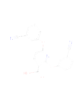 N#Cc1cccc(Oc2ccc(C(=O)O)c(Oc3cccc(C#N)c3)n2)c1